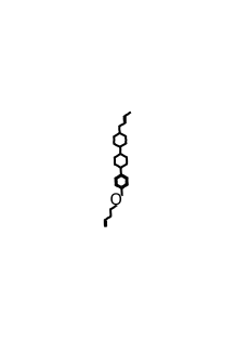 C=CCCCOCc1ccc(C2CCC(C3CCC(C/C=C/C)CC3)CC2)cc1